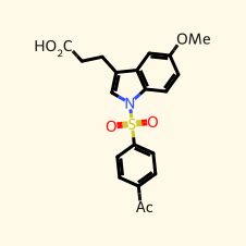 COc1ccc2c(c1)c(CCC(=O)O)cn2S(=O)(=O)c1ccc(C(C)=O)cc1